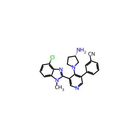 Cn1c(-c2cncc(-c3cccc(C#N)c3)c2N2CC[C@H](N)C2)nc2c(Cl)cccc21